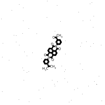 C=C(C)c1cccc(N2C(=O)c3ccc4c5c(ccc(c35)C2=O)C(=O)N(c2cccc(C(C)=O)c2)C4=O)c1